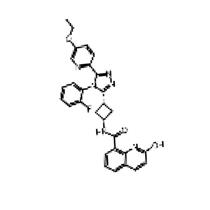 CCOc1ccc(-c2nnc([C@H]3C[C@H](NC(=O)c4cccc5ccc(O)nc45)C3)n2-c2ccccc2F)nc1